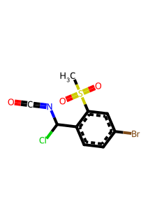 CS(=O)(=O)c1cc(Br)ccc1C(Cl)N=C=O